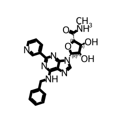 CNC(=O)[C@H]1O[C@@H](n2cnc3c(NCc4ccccc4)nc(-c4cccnc4)nc32)[C@H](O)[C@@H]1O